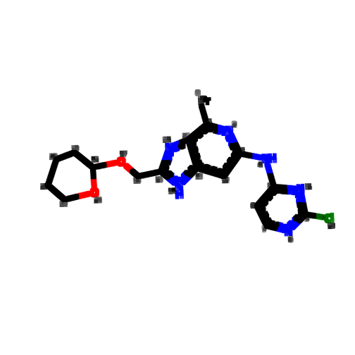 CC(C)c1nc(Nc2ccnc(Cl)n2)cc2[nH]c(COC3CCCCO3)nc12